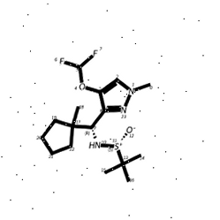 Cn1cc(OC(F)F)c([C@H](N[S@+]([O-])C(C)(C)C)C2(C)CCCC2)n1